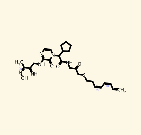 C=C/C=C\C=C/CCSCC(=O)CNC(=O)C(C1CCCC1)n1ccnc(NCC(=N)/C(C)=N\O)c1=O